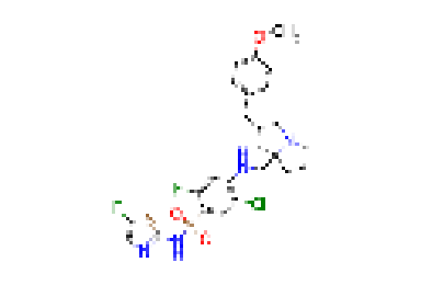 COc1ccc(C[C@H]2CN3CCC[C@]3(CNc3cc(F)c(S(=O)(=O)Nc4ncc(F)s4)cc3Cl)C2)cc1